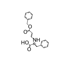 O=C(C=CN[C@@H](Cc1ccccc1)C(=O)O)OCc1ccccc1